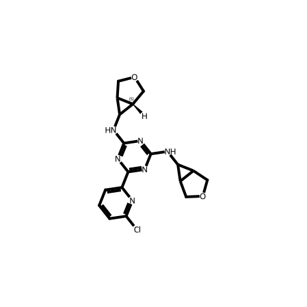 Clc1cccc(-c2nc(NC3C4COCC43)nc(NC3C4COC[C@@H]43)n2)n1